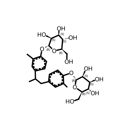 Cc1cc(CC(C)c2ccc(O[C@H]3O[C@H](CO)[C@@H](O)[C@H](O)[C@@H]3O)c(C)c2)ccc1O[C@H]1O[C@H](CO)[C@@H](O)[C@H](O)[C@@H]1O